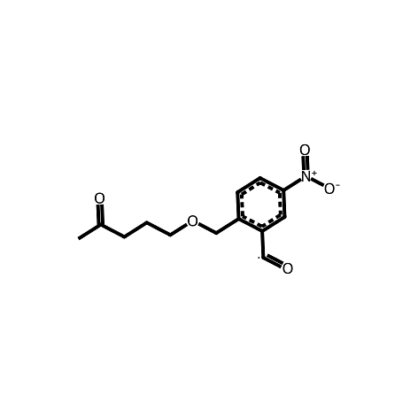 CC(=O)CCCOCc1ccc([N+](=O)[O-])cc1[C]=O